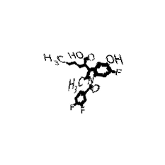 CCCCC(C(=O)O)c1c(C)n(C(=O)c2ccc(F)c(F)c2)c2cc(F)c(O)cc12